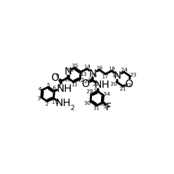 Nc1ccccc1NC(=O)c1ccc(CN(CCCN2CCOCC2)C(=O)Nc2cccc(F)c2)cn1